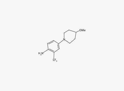 COC1CCN(c2ccc(N)c(C(F)(F)F)c2)CC1